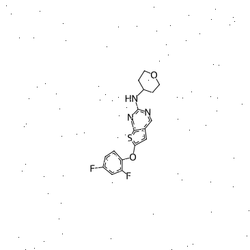 Fc1ccc(Oc2cc3cnc(NC4CCOCC4)nc3s2)c(F)c1